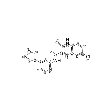 CC(Nc1cc(-c2cnoc2)ccn1)c1nc2cc(Cl)ccc2[nH]c1=O